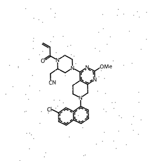 C=CC(=O)N1CCN(c2nc(OC)nc3c2CCN(c2cccc4ccc(Cl)cc24)C3)CC1CC#N